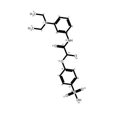 CCN(CC)c1cccc(NC(=O)C(Cl)Oc2ccc(S(=O)(=O)O)cc2)c1